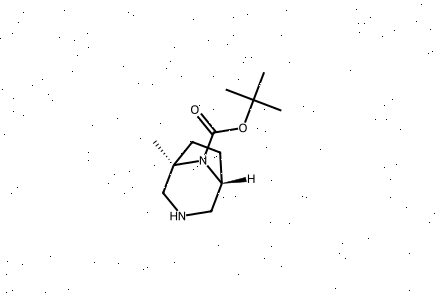 CC(C)(C)OC(=O)N1[C@@H]2CC[C@]1(C)CNC2